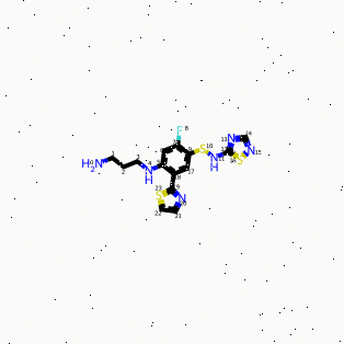 NCCCNc1cc(F)c(SNc2ncns2)cc1-c1nccs1